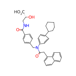 O=C(NC[C@@H](O)C(=O)O)c1ccc(CN(C(=O)Cc2cccc3ccccc23)c2ccc(C3CCCCC3)cc2)cc1